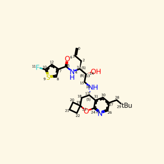 C=CC[C@H](NC(=O)c1csc(F)c1)[C@H](O)CN[C@H]1CC2(CCC2)Oc2ncc(CC(C)(C)C)cc21